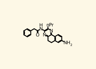 CCCc1nc2c(nc1NC(=O)Cc1ccccc1)CCc1cc(N)ccc1-2